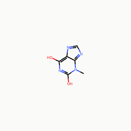 Cn1c(O)nc(O)c2ncnc1-2